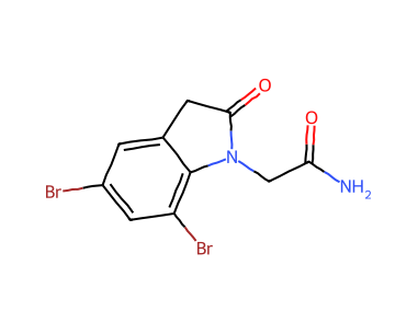 NC(=O)CN1C(=O)Cc2cc(Br)cc(Br)c21